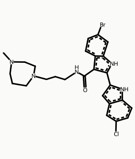 CN1CCCN(CCCNC(=O)c2c(-c3cc4cc(Cl)ccc4[nH]3)[nH]c3cc(Br)ccc23)CC1